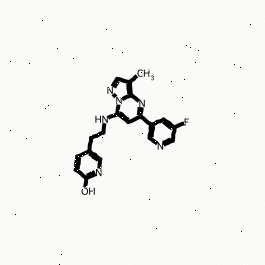 Cc1cnn2c(NCCc3ccc(O)nc3)cc(-c3cncc(F)c3)nc12